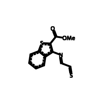 COC(=O)c1sc2ccccc2c1N=CC=S